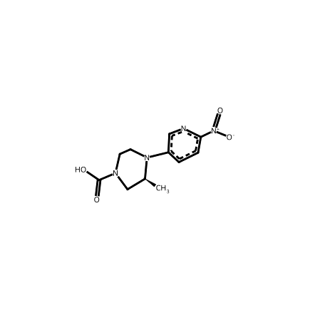 C[C@H]1CN(C(=O)O)CCN1c1ccc([N+](=O)[O-])nc1